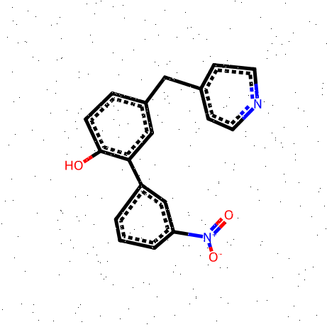 O=[N+]([O-])c1cccc(-c2cc(Cc3ccncc3)ccc2O)c1